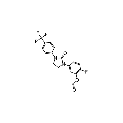 O=COc1cc(N2CCN(c3ccc(C(F)(F)F)cc3)C2=O)ccc1F